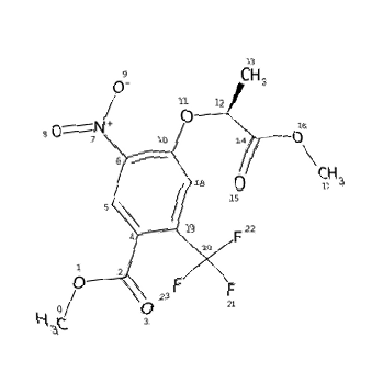 COC(=O)c1cc([N+](=O)[O-])c(O[C@@H](C)C(=O)OC)cc1C(F)(F)F